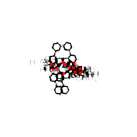 C[SiH]1[C]2(C(c3ccc([Si](C)(C)C)o3)=Cc3c(-c4ccccc4)cccc32)[Hf]2([Cl])([Cl])([C]13C(c1ccc([Si](C)(C)C)o1)=Cc1c(-c4ccccc4)cccc13)[C]1(C(c3ccc([Si](C)(C)C)o3)=Cc3c(-c4ccccc4)cccc31)[SiH](C)[C]21C(c2ccc([Si](C)(C)C)o2)=Cc2c(-c3ccccc3)cccc21